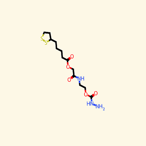 NNC(=O)OCCNC(=O)COC(=O)CCCCC1CCSS1